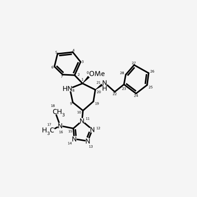 CO[C@]1(c2ccccc2)NCC(n2nnnc2N(C)C)C[C@@H]1NCc1ccccc1